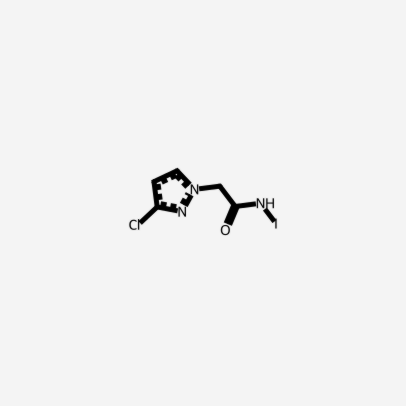 O=C(Cn1ccc(Cl)n1)NI